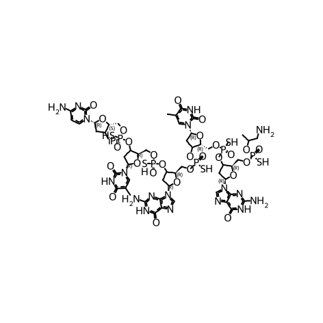 Cc1cn([C@H]2CC(OP(=O)(S)OC[C@H]3O[C@@H](n4cnc5c(=O)[nH]c(N)nc54)CC3OP(=O)(S)OC[C@H]3O[C@@H](n4cc(C)c(=O)[nH]c4=O)CC3OP(=O)(S)OC[C@H]3O[C@@H](n4ccc(N)nc4=O)CC3C(C)C)[C@@H](COP(=O)(S)OC3C[C@H](n4cnc5c(=O)[nH]c(N)nc54)O[C@@H]3COP(=O)(S)OC(C)CN)O2)c(=O)[nH]c1=O